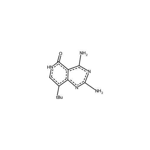 CC(C)(C)c1c[nH]c(=O)c2c(N)nc(N)nc12